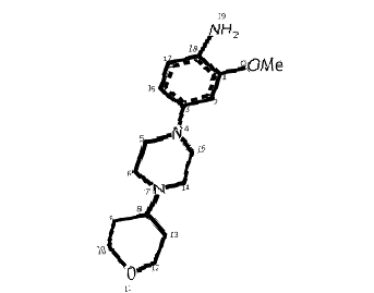 COc1cc(N2CCN(C3CCOCC3)CC2)ccc1N